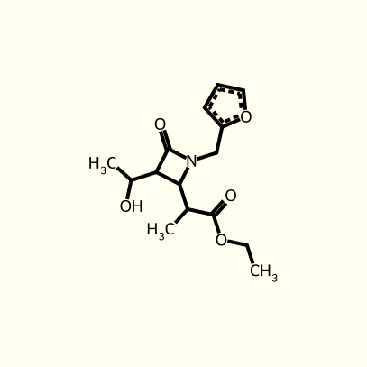 CCOC(=O)C(C)C1C(C(C)O)C(=O)N1Cc1ccco1